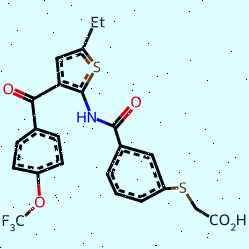 CCc1cc(C(=O)c2ccc(OC(F)(F)F)cc2)c(NC(=O)c2cccc(SCC(=O)O)c2)s1